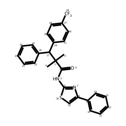 CC(C)(C(=O)Nc1nc(-c2ccccc2)cs1)C(c1ccccc1)c1ccc(C(F)(F)F)cc1